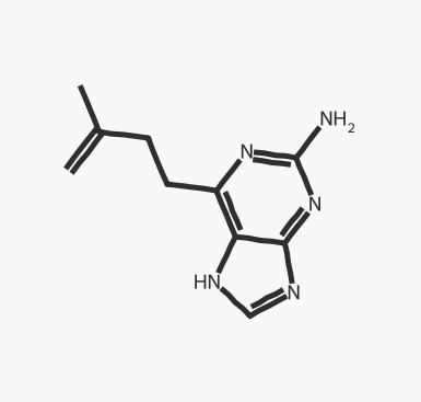 C=C(C)CCc1nc(N)nc2nc[nH]c12